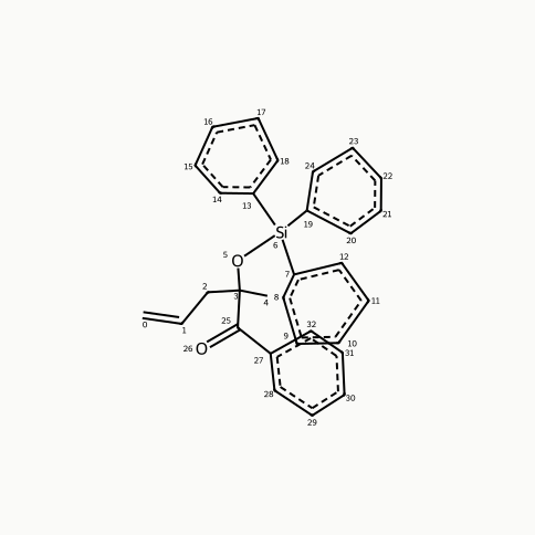 C=CCC(C)(O[Si](c1ccccc1)(c1ccccc1)c1ccccc1)C(=O)c1ccccc1